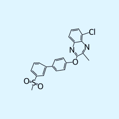 Cc1nc2c(Cl)cccc2nc1Oc1ccc(-c2cccc(S(C)(=O)=O)c2)cc1